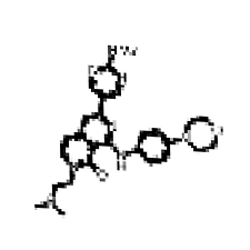 CNc1ncc(-c2cc3ccn(CCN(C)C)c(=O)c3c(Nc3ccc(N4CCOCC4)cc3)n2)cn1